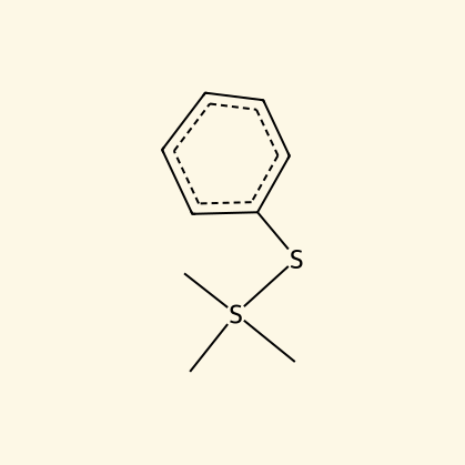 CS(C)(C)Sc1ccccc1